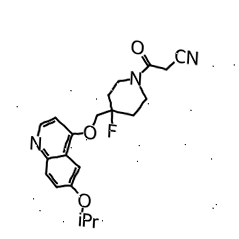 CC(C)Oc1ccc2nccc(OCC3(F)CCN(C(=O)CC#N)CC3)c2c1